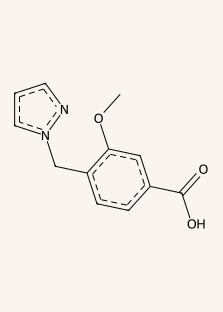 COc1cc(C(=O)O)ccc1Cn1cccn1